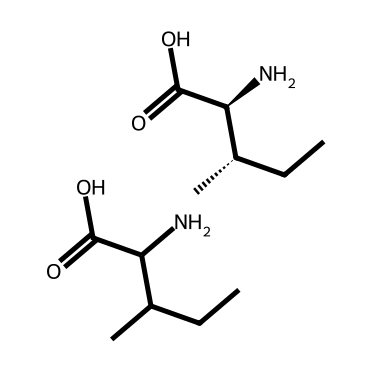 CCC(C)C(N)C(=O)O.CC[C@H](C)[C@H](N)C(=O)O